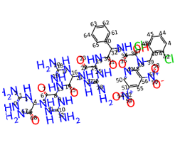 N=C(N)NC(NC(=O)C(NC(=N)N)NC(=O)C(NC(=N)N)NC(=O)C(NC(=N)N)NC(=O)C(NC(=O)C(O)N(Cc1c(Cl)cccc1Cl)c1ncc([N+](=O)[O-])cc1[N+](=O)[O-])c1ccccc1)C(N)=O